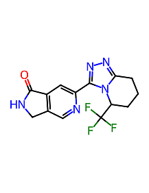 O=C1NCc2cnc(-c3nnc4n3C(C(F)(F)F)CCC4)cc21